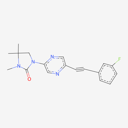 CN1C(=O)N(c2cnc(C#Cc3cccc(F)c3)cn2)CC1(C)C